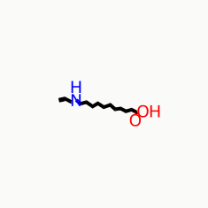 C=CCNCCCCCCCCCCC(=O)O